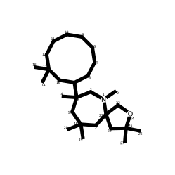 CN1CC(C)(C2CCCCCCCC(C)(C)C2)CC(C)(C)CC12COC(C)(C)C2